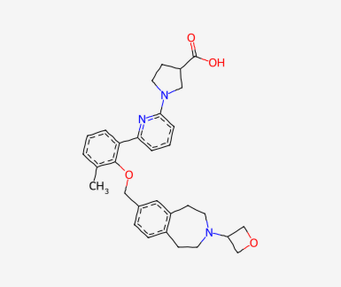 Cc1cccc(-c2cccc(N3CCC(C(=O)O)C3)n2)c1OCc1ccc2c(c1)CCN(C1COC1)CC2